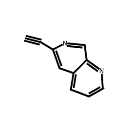 C#Cc1cc2cc[c]nc2cn1